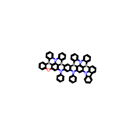 c1ccc(N2c3cc4c(cc3B3c5ccccc5N5c6ccccc6B6c7ccccc7Oc7cc2c3c5c76)B2c3ccccc3N3c5ccccc5B5c6c(cc(c2c63)N4c2ccccc2)-n2c3ccccc3c3cccc5c32)cc1